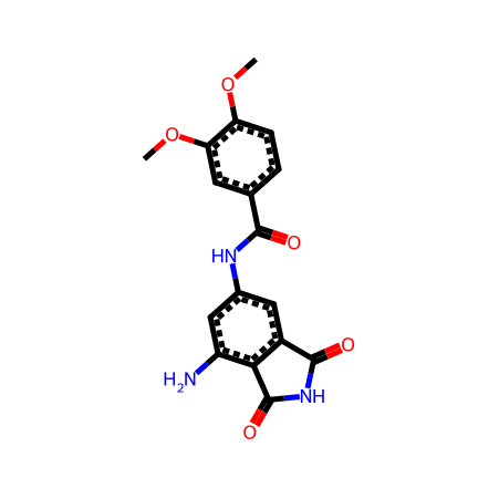 COc1ccc(C(=O)Nc2cc(N)c3c(c2)C(=O)NC3=O)cc1OC